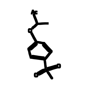 CC(=O)C(C)Oc1ccc(S(C)(=O)=O)cc1